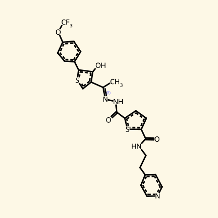 C/C(=N\NC(=O)c1ccc(C(=O)NCCc2ccncc2)s1)c1csc(-c2ccc(OC(F)(F)F)cc2)c1O